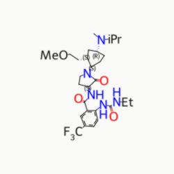 CCNC(=O)Nc1ccc(C(F)(F)F)cc1C(=O)N[C@H]1CCN([C@H]2CC[C@@H](N(C)C(C)C)C[C@H]2CCOC)C1=O